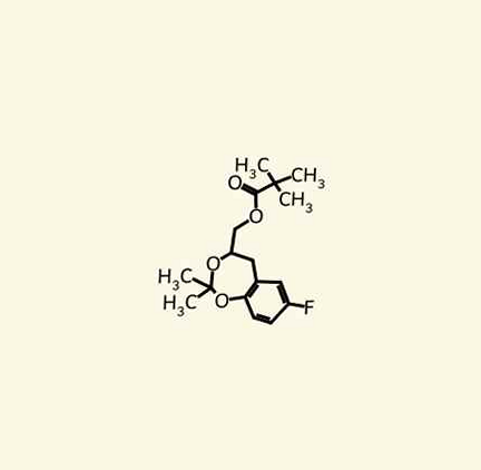 CC1(C)Oc2ccc(F)cc2CC(COC(=O)C(C)(C)C)O1